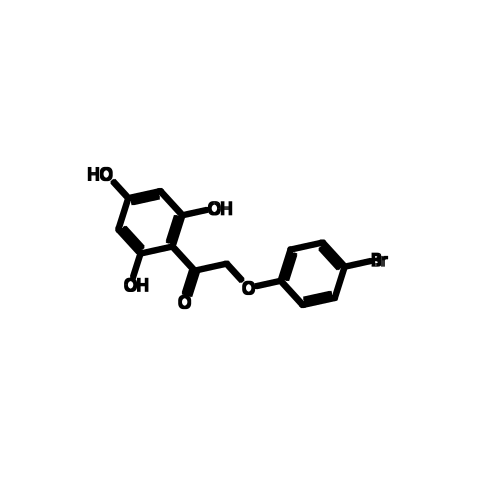 O=C(COc1ccc(Br)cc1)c1c(O)cc(O)cc1O